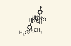 COc1ccc(CCNC(=O)NC(NC=O)c2ccc(F)cc2)cc1OC